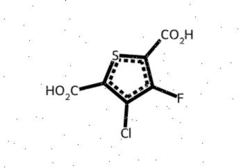 O=C(O)c1sc(C(=O)O)c(Cl)c1F